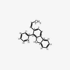 C/C=C\c1ccc2c(oc3ccccc32)c1-c1ccccn1